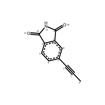 CC#Cc1ccc2c(c1)C(=O)NC2=O